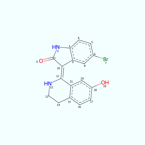 O=C1Nc2ccc(Br)cc2/C1=C1/NCCc2ccc(O)cc21